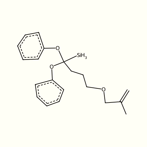 C=C(C)COCCCC([SiH3])(Oc1ccccc1)Oc1ccccc1